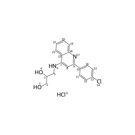 Cl.OCC(O)CNc1cc(-c2ccc(Cl)cc2)nc2ccccc12